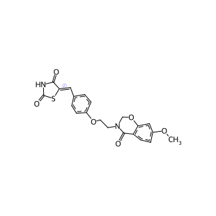 COc1ccc2c(c1)OCN(CCOc1ccc(/C=C3\SC(=O)NC3=O)cc1)C2=O